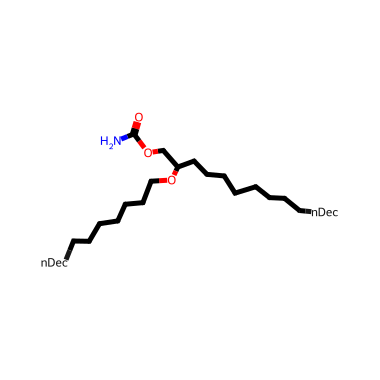 CCCCCCCCCCCCCCCCCCC(COC(N)=O)OCCCCCCCCCCCCCCCCC